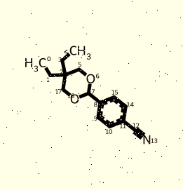 CCC1(CC)COC(c2ccc(C#N)cc2)OC1